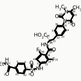 CCNC(=O)c1ccc(S(=O)(=O)Nc2cc(F)c(C(=O)N[C@@H](Cc3ccc(-n4c(=O)cc(C)n(C)c4=O)cc3)C(=O)O)c(F)c2)cc1